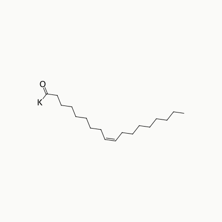 CCCCCCCC/C=C\CCCCCCC[C](=O)[K]